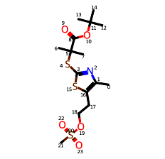 Cc1nc(SC(C)(C)C(=O)OC(C)(C)C)sc1CCOS(C)(=O)=O